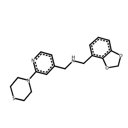 c1cc(CNCc2ccnc(N3CCSCC3)c2)c2c(c1)OCO2